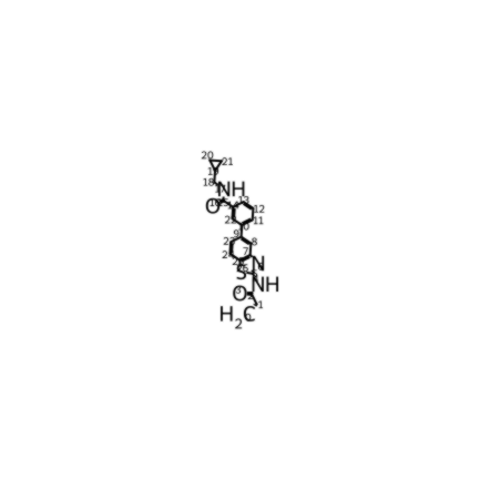 C=CC(=O)Nc1nc2cc(-c3cccc(C(=O)NCC4CC4)c3)ccc2s1